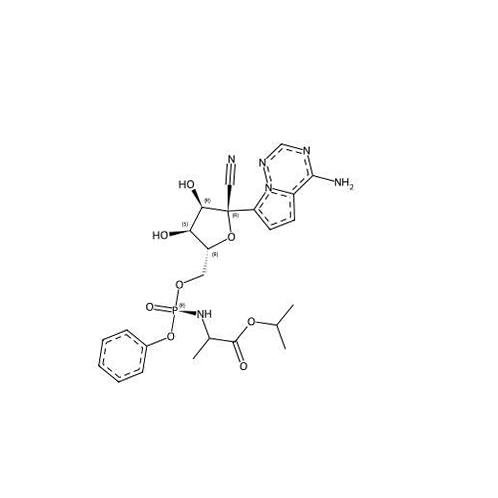 CC(C)OC(=O)C(C)N[P@@](=O)(OC[C@H]1O[C@@](C#N)(c2ccc3c(N)ncnn23)[C@H](O)[C@@H]1O)Oc1ccccc1